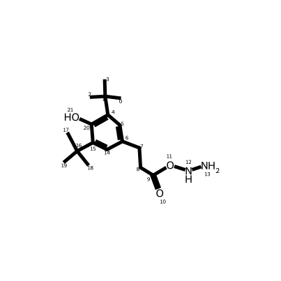 CC(C)(C)c1cc(CCC(=O)ONN)cc(C(C)(C)C)c1O